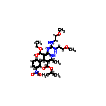 CCOC(=O)C1=C(N=C(NCCOC)NCCOC)NC(C)=C(C(=O)OC(C)C)C1c1cccc([N+](=O)[O-])c1